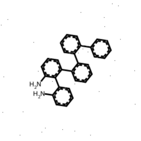 Nc1ccccc1-c1c(N)cccc1-c1ccccc1-c1ccccc1-c1ccccc1